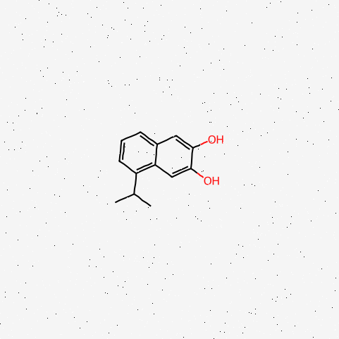 CC(C)c1cccc2cc(O)c(O)cc12